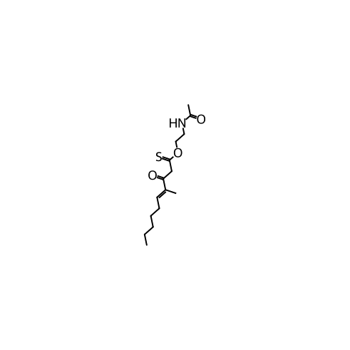 CCCCC/C=C(\C)C(=O)CC(=S)OCCNC(C)=O